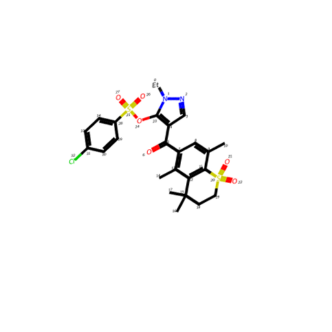 CCn1ncc(C(=O)c2cc(C)c3c(c2C)C(C)(C)CCS3(=O)=O)c1OS(=O)(=O)c1ccc(Cl)cc1